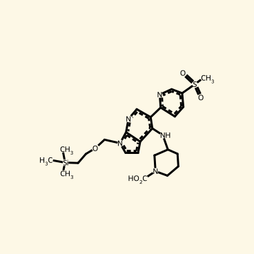 C[Si](C)(C)CCOCn1ccc2c(NC3CCCN(C(=O)O)C3)c(-c3ccc(S(C)(=O)=O)cn3)cnc21